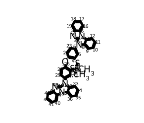 C[Si]1(C)Sc2cc(-n3c4ccccc4n4c5ccccc5nc34)ccc2Oc2ccc(-n3c4ccccc4n4c5ccccc5nc34)cc21